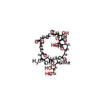 C=C1C2C[C@@H]3OC(CC(O)CO)[C@H](OC)C3CC(=O)CC3CCC4O[C@@H]5C(O[C@H](CC(=O)CCC6CC(=O)C(CCC(C[C@H]1C)O2)O6)C5O)C(O)[C@H]4O3